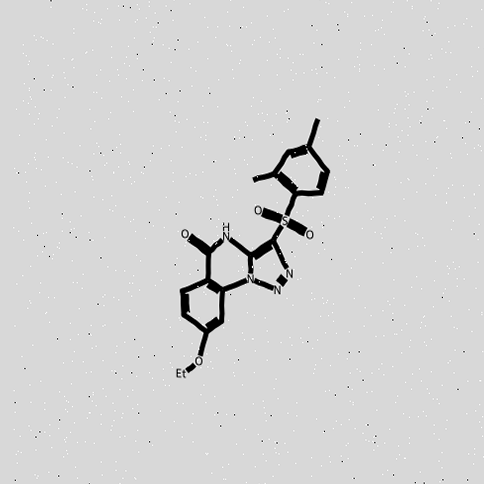 CCOc1ccc2c(=O)[nH]c3c(S(=O)(=O)c4ccc(C)cc4C)nnn3c2c1